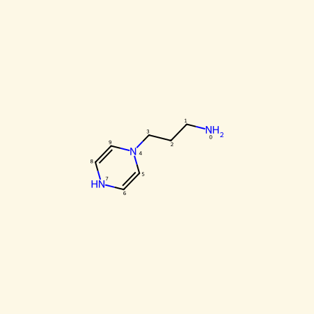 NCCCN1C=CNC=C1